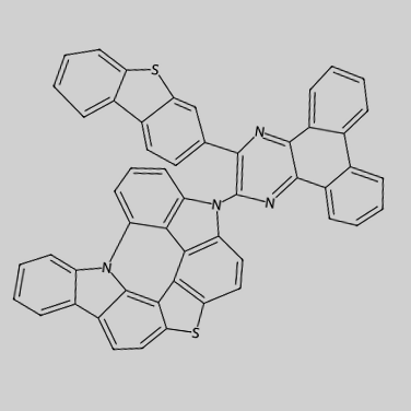 c1ccc2c(c1)sc1cc(-c3nc4c5ccccc5c5ccccc5c4nc3-n3c4ccc5sc6ccc7c8ccccc8n8c9cccc3c9c4c5c6c78)ccc12